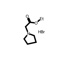 Br.CCOC(=O)CN1CCCC1